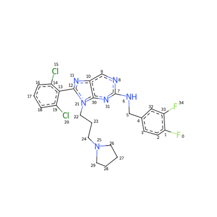 Fc1ccc(CNc2ncc3nc(-c4c(Cl)cccc4Cl)n(CCCN4CCCC4)c3n2)cc1F